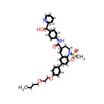 CCCCOCCOc1ccc(-c2ccc3c(c2)C=C(C(=O)Nc2ccc(C(O)c4ccccn4)cc2)CCN3S(C)(=O)=O)cc1